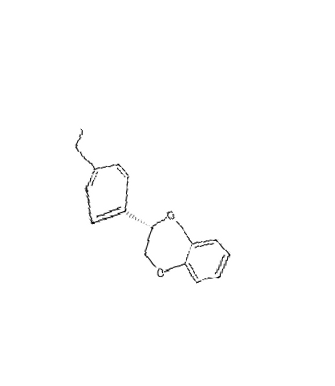 ICc1ccc([C@H]2COc3ccccc3O2)cc1